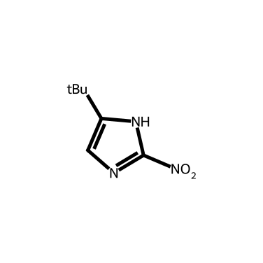 CC(C)(C)c1cnc([N+](=O)[O-])[nH]1